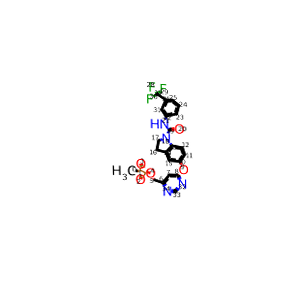 CS(=O)(=O)OCc1cc(Oc2ccc3c(c2)CCN3C(=O)Nc2cccc(C(F)(F)F)c2)ncn1